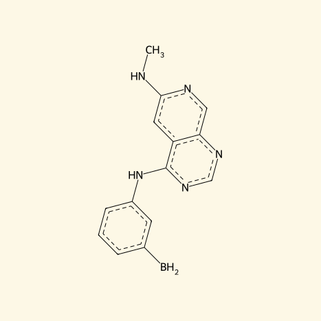 Bc1cccc(Nc2ncnc3cnc(NC)cc23)c1